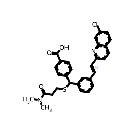 CN(C)C(=O)CCSC(c1ccc(C(=O)O)cc1)c1cccc(/C=C/c2ccc3ccc(Cl)cc3n2)c1